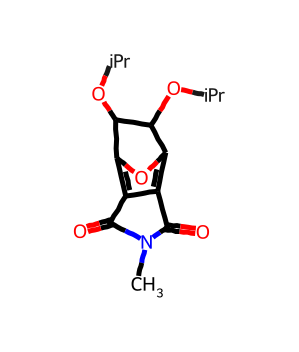 CC(C)OC1c2oc(c3c2C(=O)N(C)C3=O)C1OC(C)C